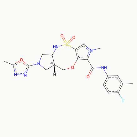 Cc1nnc(N2CC3NS(=O)(=O)c4cn(C)c(C(=O)Nc5ccc(F)c(C)c5)c4OC[C@@H]3C2)o1